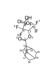 O=C(OC(C(F)(F)F)C(F)(F)S(=O)(=O)O)C12CC3CC(CC1C3)C2